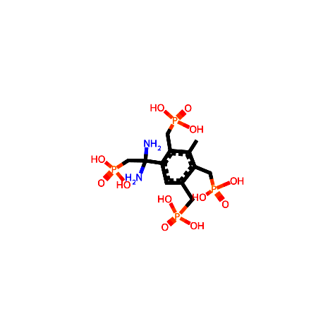 Cc1c(CP(=O)(O)O)c(CP(=O)(O)O)cc(C(N)(N)CP(=O)(O)O)c1CP(=O)(O)O